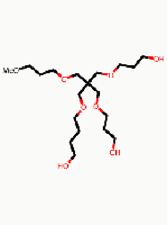 COCCCOCC(COCCCO)(COCCCO)COCCCCO